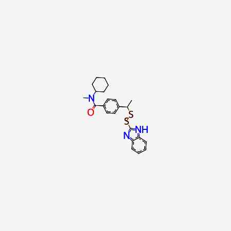 CC(SSc1nc2ccccc2[nH]1)c1ccc(C(=O)N(C)C2CCCCC2)cc1